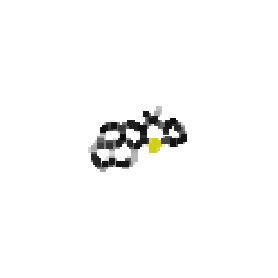 CC1(C)C2=Cc3ccc4cccc5c4c3C(C=C5)C2Sc2ccccc21